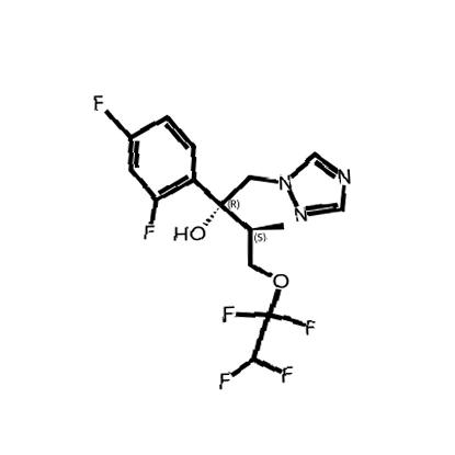 C[C@@H](COC(F)(F)C(F)F)[C@](O)(Cn1cncn1)c1ccc(F)cc1F